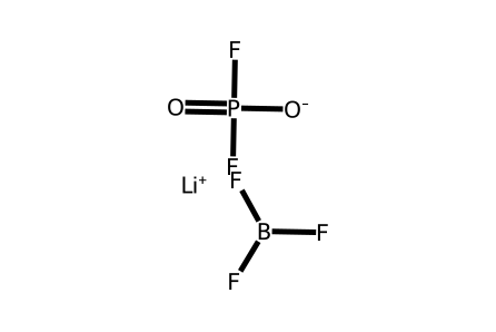 FB(F)F.O=P([O-])(F)F.[Li+]